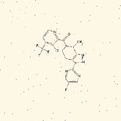 CC1c2nnn(-c3ncc(F)cn3)c2CCN1C(=O)c1nccc(C(F)(F)F)c1Cl